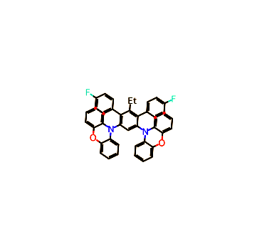 CCc1c(-c2ccc(F)cc2)c(N2c3ccccc3Oc3ccccc32)cc(N2c3ccccc3Oc3ccccc32)c1-c1ccc(F)cc1